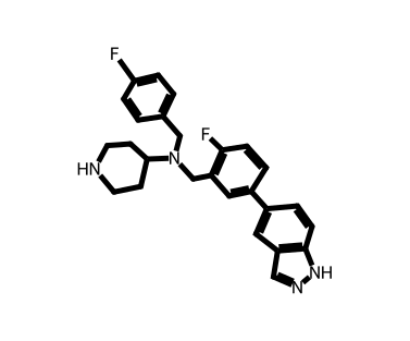 Fc1ccc(CN(Cc2cc(-c3ccc4[nH]ncc4c3)ccc2F)C2CCNCC2)cc1